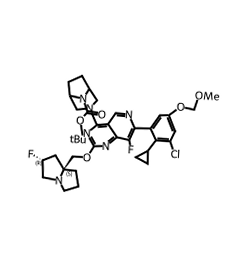 COCOc1cc(Cl)c(C2CC2)c(-c2ncc3c(N4CC5CCC(C4)N5C(=O)OC(C)(C)C)nc(OC[C@@]45CCCN4C[C@H](F)C5)nc3c2F)c1